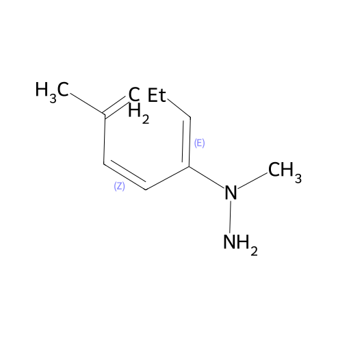 C=C(C)/C=C\C(=C/CC)N(C)N